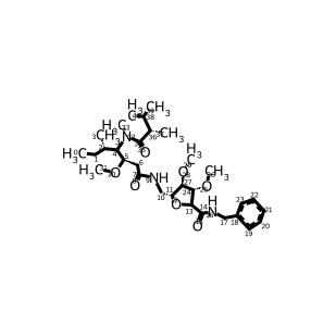 CC[C@H](C)C([C@@H](CC(=O)NC[C@H]1OC(C(=O)NCc2ccccc2)[C@@H](OC)[C@@H]1OC)OC)N(C)C(=O)[C@@H](C)C(C)C